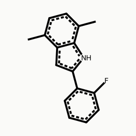 Cc1ccc(C)c2[nH]c(-c3ccccc3F)cc12